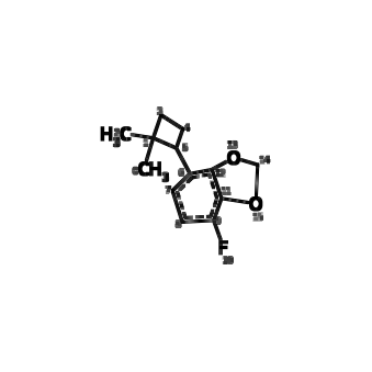 CC1(C)CCC1c1ccc(F)c2c1OCO2